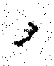 Cc1c(OCCC2CCN(CCC3CCN(c4ccc5c(C6CCC(=O)NC6=O)nn(C)c5c4)CC3)CC2)cccc1-c1ccc(N2CCc3cccc(C(=O)Nc4nc5ccccc5s4)c3C2)nc1C(=O)O